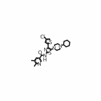 Cc1cc(C(=O)Nc2nc(-c3cc(Cl)cs3)c(N3CCN(C4CCCCC4)CC3)s2)cnc1C